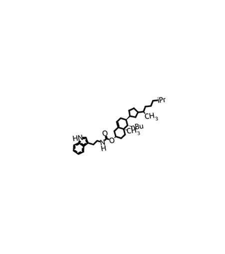 CCCC[C@H]1[C@H](C2CCC([C@H](C)CCCC(C)C)C2)CC=C2C[C@@H](OC(=O)NCCc3c[nH]c4ccccc34)CC[C@@]21C